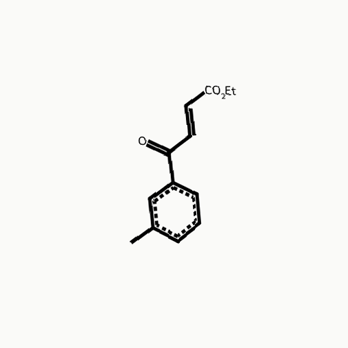 CCOC(=O)C=CC(=O)c1cccc(C)c1